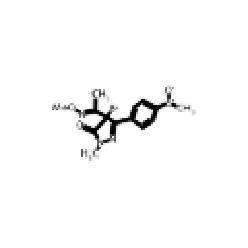 CON=C(C)C1(Br)C(=O)N(C)N=C1c1ccc([S+](C)[O-])cc1